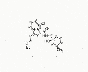 CCOCCc1cc(C(=O)NCC2(O)CCCC(C)C2)c2c(Cl)cccn12